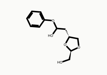 OC[C@@H]1OC[C@@H](CC(O)Oc2ccccc2)O1